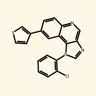 Clc1[c]cccc1-n1cnc2cnc3ccc(-c4ccsc4)cc3c21